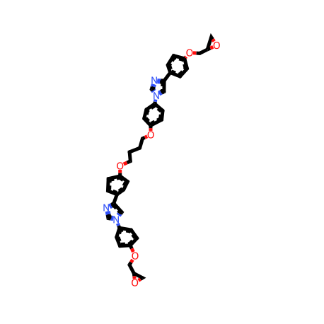 c1cc(-c2cn(-c3ccc(OCC4CO4)cc3)cn2)ccc1OCCCCOc1ccc(-n2cnc(-c3ccc(OCC4CO4)cc3)c2)cc1